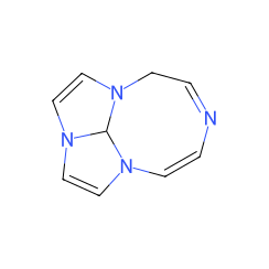 C1=CN2/C=C\N=C/CN3C=CN1C23